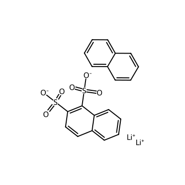 O=S(=O)([O-])c1ccc2ccccc2c1S(=O)(=O)[O-].[Li+].[Li+].c1ccc2ccccc2c1